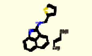 O=C(O)C=CC(=O)O.c1csc(CNC2=Nc3cccc4cccc2c34)c1